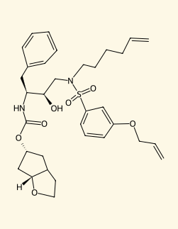 C=CCCCCN(C[C@@H](O)[C@H](Cc1ccccc1)NC(=O)O[C@@H]1CC2CCO[C@@H]2C1)S(=O)(=O)c1cccc(OCC=C)c1